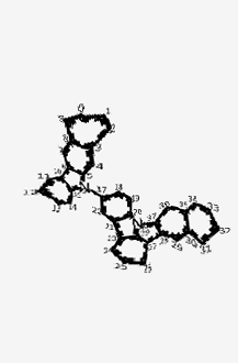 c1ccc2cc3c(cc2c1)c1ccccc1n3-c1ccc2c(c1)c1cccc3c4cc5ccccc5cc4n2c13